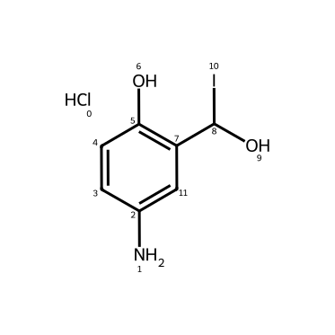 Cl.Nc1ccc(O)c(C(O)I)c1